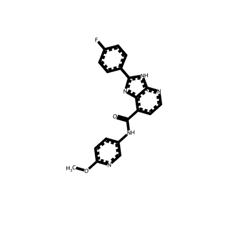 COc1ccc(NC(=O)c2ccnc3[nH]c(-c4ccc(F)cc4)nc23)cn1